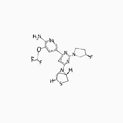 Nc1ncc(-c2cc(N3C[C@@H]4C[C@H]3CS4)nc(N3CC[C@@H](F)C3)n2)cc1OC(F)F